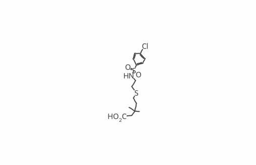 CC(C)(CCSCCNS(=O)(=O)c1ccc(Cl)cc1)CC(=O)O